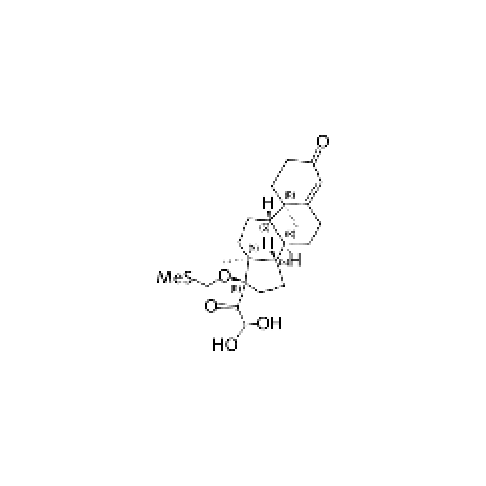 CSCO[C@]1(C(=O)C(O)O)CC[C@H]2[C@@H]3CCC4=CC(=O)CC[C@]4(C)[C@H]3CC[C@@]21C